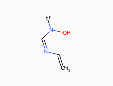 C=C/N=C\N(O)CC